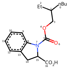 CCCCC(CC)COC(=O)N1c2ccccc2CC1C(=O)O